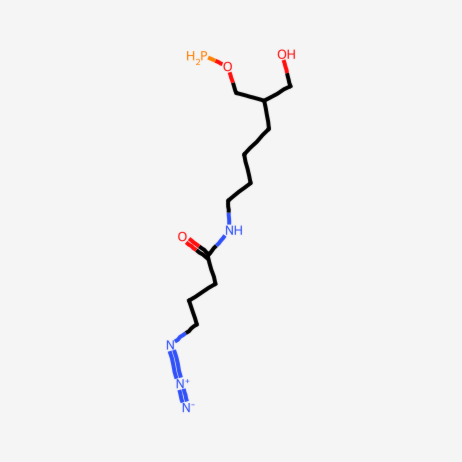 [N-]=[N+]=NCCCC(=O)NCCCCC(CO)COP